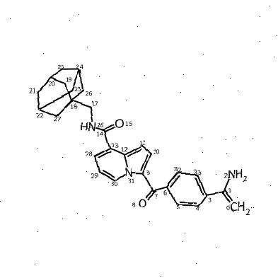 C=C(N)c1ccc(C(=O)c2ccc3c(C(=O)NCC45CC6CC(CC(C6)C4)C5)cccn23)cc1